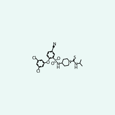 CC(C)NC(=S)N1CCC(NS(=O)(=O)c2cc(C#N)ccc2Oc2cc(Cl)cc(Cl)c2)CC1